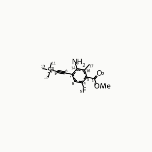 COC(=O)c1c(F)cc(C#C[Si](C)(C)C)c(N)c1C